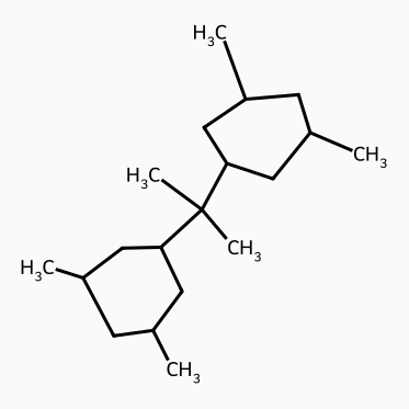 CC1CC(C)CC(C(C)(C)C2CC(C)CC(C)C2)C1